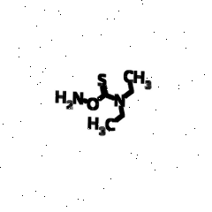 CCN(CC)C(=S)ON